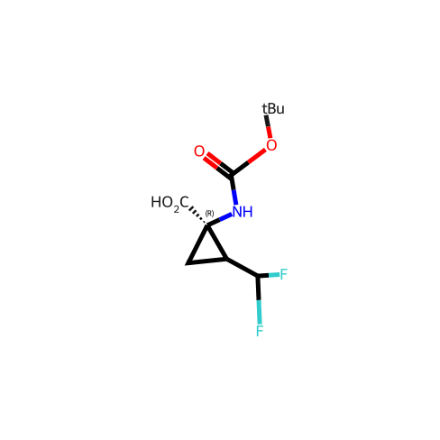 CC(C)(C)OC(=O)N[C@]1(C(=O)O)CC1C(F)F